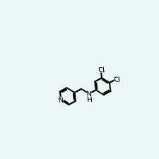 Clc1ccc(NCc2ccncc2)cc1Cl